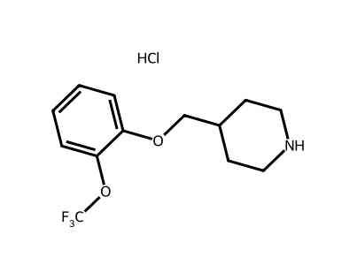 Cl.FC(F)(F)Oc1ccccc1OCC1CCNCC1